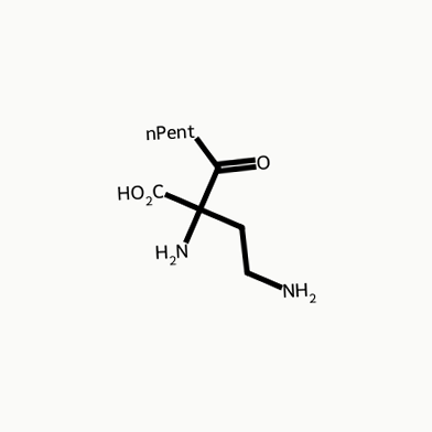 CCCCCC(=O)C(N)(CCN)C(=O)O